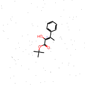 C/C(=C(/O)C(=O)OC(C)(C)C)c1ccccc1